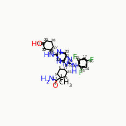 C[C@]1(C(N)=O)CC[C@H](n2c(Nc3c(F)cc(F)cc3F)nc3cnc(N[C@@H]4CCC[C@@H](O)C4)nc32)CC1